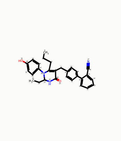 CCCC1=C(Cc2ccc(-c3ccccc3C#N)cc2)C(=O)NC(CC)N1c1ccc(O)cc1